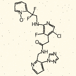 O=C(Cc1c(Cl)cnc(NCC(F)(F)c2cccc[n+]2[O-])c1F)NCc1ncccc1-n1cncn1